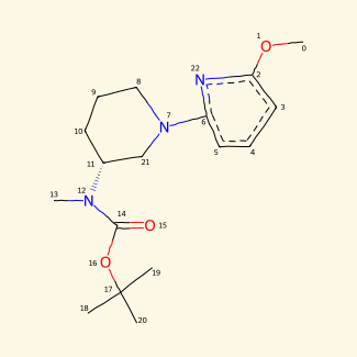 COc1cccc(N2CCC[C@@H](N(C)C(=O)OC(C)(C)C)C2)n1